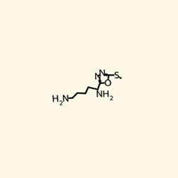 CSc1nnc(C(N)CCCCN)o1